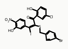 O=C(C(SCc1ccc(Br)cc1)=C(I)c1ccc([N+](=O)[O-])c(O)c1)c1cc(Cl)ccc1O